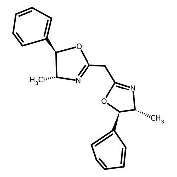 C[C@H]1N=C(CC2=N[C@H](C)[C@@H](c3ccccc3)O2)O[C@@H]1c1ccccc1